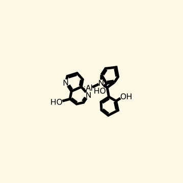 Oc1ccccc1C1c2cccc(c2O)[N]1[Al].Oc1ccnc2cccnc12